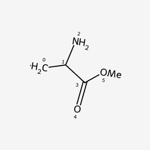 [CH2]C(N)C(=O)OC